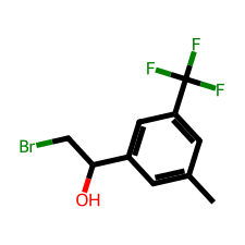 Cc1cc(C(O)CBr)cc(C(F)(F)F)c1